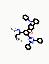 C=N/C(=C\C=C/C)c1cc(-c2nc(-c3ccccc3)nc(-c3ccccc3)n2)c2oc3cc4c5ccccc5n(-c5ccccc5)c4cc3c2c1